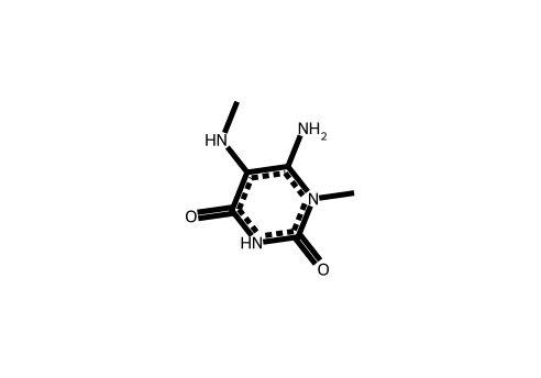 CNc1c(N)n(C)c(=O)[nH]c1=O